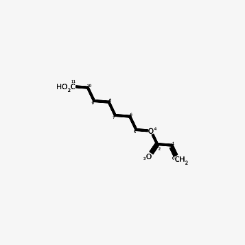 C=CC(=O)OCCCCCCC(=O)O